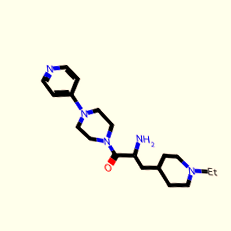 CCN1CCC(CC(N)C(=O)N2CCN(c3ccncc3)CC2)CC1